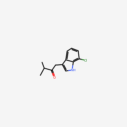 CC(C)C(=O)Cc1c[nH]c2c(Cl)cccc12